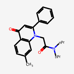 CCCN(CCC)C(=O)Cn1c(-c2ccccc2)cc(=O)c2ccc(C)cc21